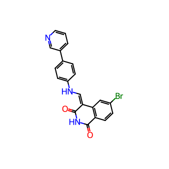 O=C1NC(=O)c2ccc(Br)cc2C1=CNc1ccc(-c2cccnc2)cc1